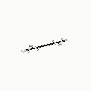 C=CC(=O)OCC(O)COC(=O)CCCCCCCCCCC(=O)OCC(O)COC(=O)C=C